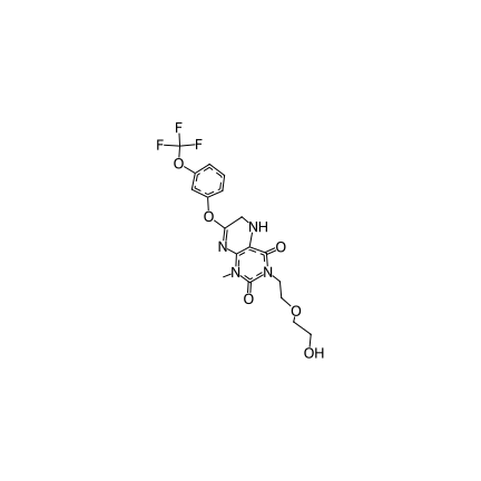 Cn1c2c(c(=O)n(CCOCCO)c1=O)NCC(Oc1cccc(OC(F)(F)F)c1)=N2